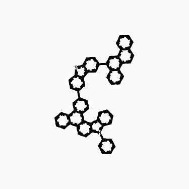 c1ccc(-n2c3ccccc3c3c4c(ccc32)c2ccccc2c2cc(-c3ccc5sc6ccc(-c7cc8c9ccccc9ccc8c8ccccc78)cc6c5c3)ccc24)cc1